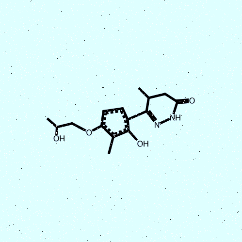 Cc1c(OCC(C)O)ccc(C2=NNC(=O)CC2C)c1O